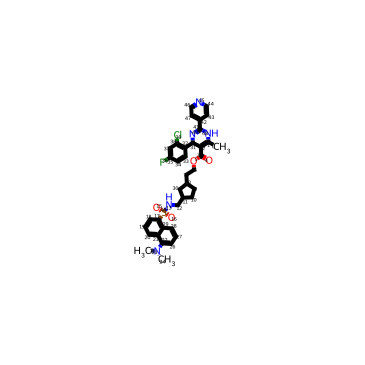 CC1=C(C(=O)OCCC2CCC(CNS(=O)(=O)c3cccc4c(N(C)C)cccc34)C2)C(c2ccc(F)cc2Cl)N=C(c2ccncc2)N1